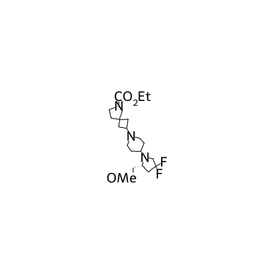 CCOC(=O)N1CCC2(CC(N3CCC(N4CC(F)(F)C[C@@H]4COC)CC3)C2)C1